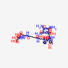 NC(=O)CN1CCN(CC(N)=O)CCN([C@H](CCC(=O)N[C@H](Cc2ccc(O)c(I)c2)C(=O)N[C@H](Cc2ccccc2)C(=O)N[C@H](CCCCNC(=O)CCCCCCC(=O)NCCCCC(NC(=O)N[C@@H](CCC(=O)O)C(=O)O)C(=O)O)C(=O)O)C(=O)O)CCN(CC(N)=O)CC1